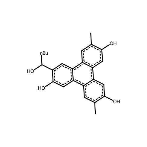 CCCCC(O)c1cc2c3cc(C)c(O)cc3c3cc(O)c(C)cc3c2cc1O